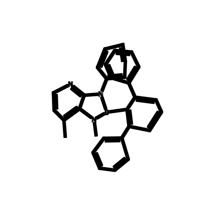 Cc1ccnc2c1N(C)B(c1c(-c3ccccc3)cccc1-c1ccccc1)N2c1ccccc1